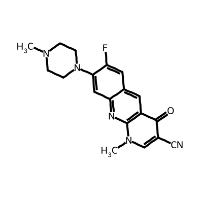 CN1CCN(c2cc3nc4c(cc3cc2F)c(=O)c(C#N)cn4C)CC1